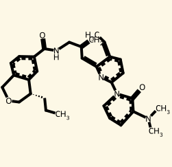 C=C(/C=c1/nc(-n2cccc(N(C)C)c2=O)cc/c1=C/C)CNC(=O)c1ccc2c(c1)[C@H](CCC)COC2